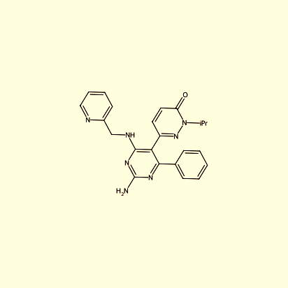 CC(C)n1nc(-c2c(NCc3ccccn3)nc(N)nc2-c2ccccc2)ccc1=O